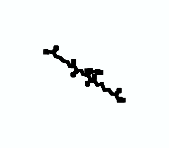 CC(C)C(=O)CCCCCNC(=O)CCC(NC(C)(C)C)C(=O)NCCCCCC(=O)C(C)(C)C